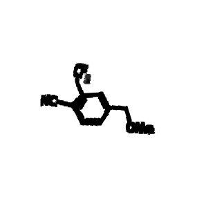 COCc1ccc(C#N)c(C(F)(F)F)c1